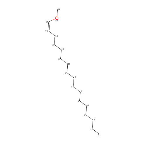 CCCCCCCCCCCCCCC/C=[C]\OC